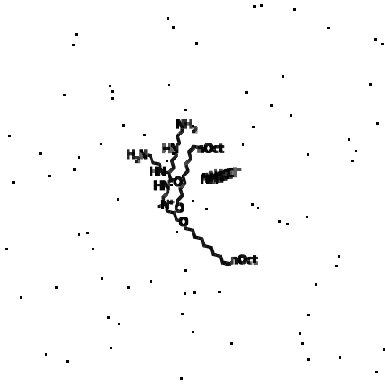 CCCCCCCC/C=C\CCCCCCCCOCC(C[N+](C)(C)CCNC(=O)C(CCCNCCCN)NCCCN)OCCCCCCCC/C=C\CCCCCCCC.Cl.Cl.Cl.Cl.[Cl-]